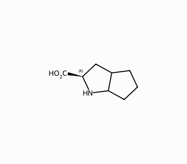 O=C(O)[C@H]1CC2CCCC2N1